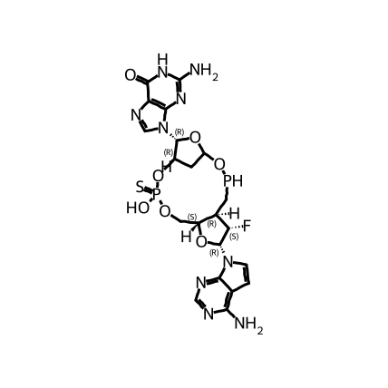 Nc1nc2c(ncn2[C@@H]2OC3C[C@H]2OP(O)(=S)OC[C@H]2O[C@@H](n4ccc5c(N)ncnc54)[C@@H](F)[C@@H]2CPO3)c(=O)[nH]1